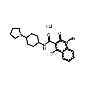 CC(C)n1c(=O)c(C(=O)NC2CCC(N3CCCC3)CC2)c(O)c2ccccc21.Cl